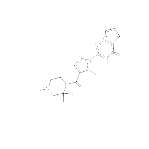 CCN1CCN(C(=O)c2cnn(-c3nn4cccc4c(=O)[nH]3)c2C)C(C)(C)C1